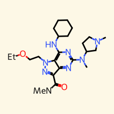 CCOCCn1nc(C(=O)NC)c2nc(N(C)C3CCN(C)C3)nc(NC3CCCCC3)c21